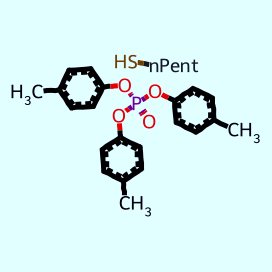 CCCCCS.Cc1ccc(OP(=O)(Oc2ccc(C)cc2)Oc2ccc(C)cc2)cc1